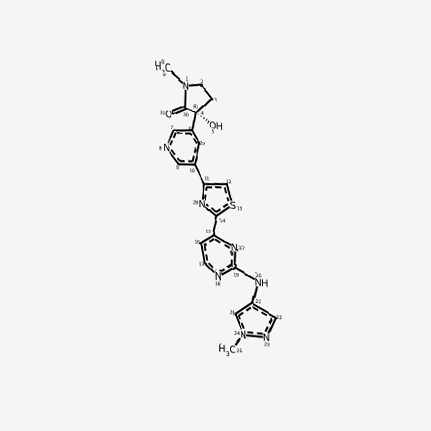 CN1CC[C@@](O)(c2cncc(-c3csc(-c4ccnc(Nc5cnn(C)c5)n4)n3)c2)C1=O